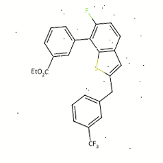 CCOC(=O)c1cccc(-c2c(F)ccc3cc(Cc4cccc(C(F)(F)F)c4)sc23)c1